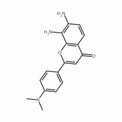 CN(C)c1ccc(-c2cc(=O)c3ccc(N)c(N)c3o2)cc1